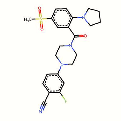 CS(=O)(=O)c1ccc(N2CCCC2)c(C(=O)N2CCN(c3ccc(C#N)c(F)c3)CC2)c1